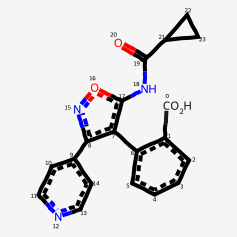 O=C(O)c1ccccc1-c1c(-c2ccncc2)noc1NC(=O)C1CC1